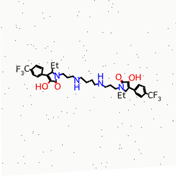 CCC1C(c2ccc(C(F)(F)F)cc2)=C(O)C(=O)N1CCCNCCCCNCCCN1C(=O)C(O)=C(c2ccc(C(F)(F)F)cc2)C1CC